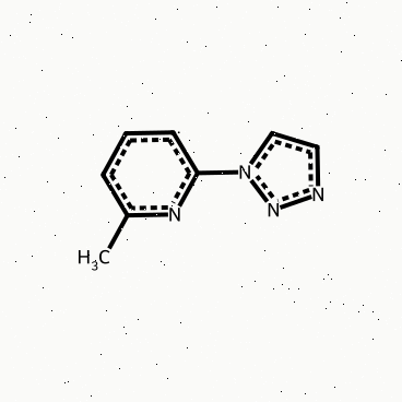 Cc1cc[c]c(-n2ccnn2)n1